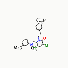 COc1cccc(N(C)Cc2c(Cl)cc(Cl)c(=O)n2CCc2ccc(C(=O)O)cc2)c1